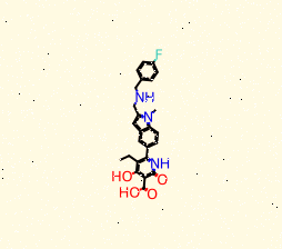 CCc1c(-c2ccc3c(c2)cc(CNCc2ccc(F)cc2)n3C)[nH]c(=O)c(C(=O)O)c1O